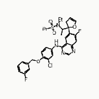 CCN(C(C)C1(c2cc3c(Nc4ccc(OCc5cccc(F)c5)c(Cl)c4)ncnc3cc2F)CC=CO1)S(=O)(=O)C(C)C